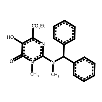 CCOC(=O)c1nc(N(C)C(c2ccccc2)c2ccccc2)n(C)c(=O)c1O